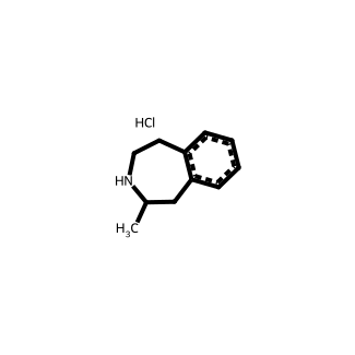 CC1Cc2ccccc2CCN1.Cl